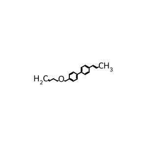 C=CCCOCc1ccc(-c2ccc(C=CC)cc2)cc1